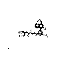 Nc1nc(SCCNC(=O)CC(CO)CO)nc(-c2c(Cl)cc3c4c(cccc24)COC3)n1